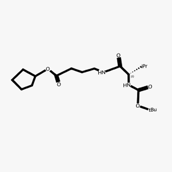 CC(C)[C@H](NC(=O)OC(C)(C)C)C(=O)NCCCC(=O)OC1CCCC1